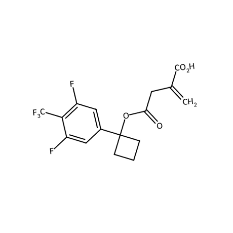 C=C(CC(=O)OC1(c2cc(F)c(C(F)(F)F)c(F)c2)CCC1)C(=O)O